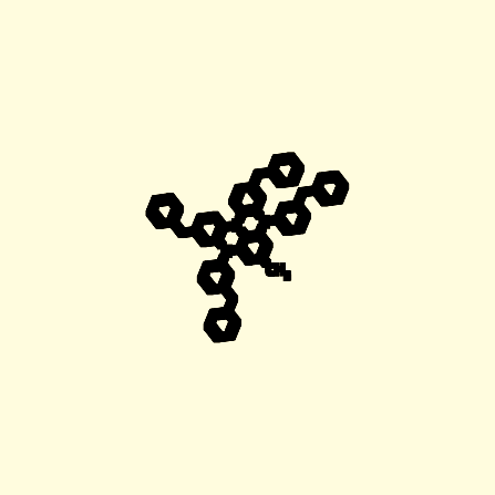 Cc1cc2c3c(c1)N(c1cccc(Cc4ccccc4)c1)c1cc(Cc4ccccc4)ccc1B3c1ccc(Cc3ccccc3)cc1N2c1cccc(Cc2ccccc2)c1